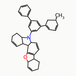 C[C@H]1C=CC=C(c2cc(-c3ccccc3)cc(N3C4C=CC5=C(OC6C=CCCC56)C4C4C=CCCC43)c2)C1